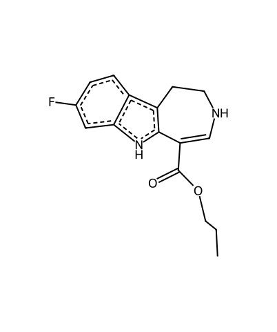 CCCOC(=O)C1=CNCCc2c1[nH]c1cc(F)ccc21